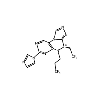 FC(F)(F)CCN1c2nc(-n3ccnc3)ncc2-n2cnnc2[C@H]1CC(F)(F)F